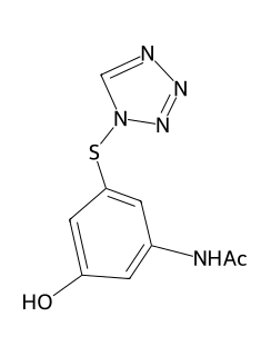 CC(=O)Nc1cc(O)cc(Sn2cnnn2)c1